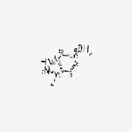 Bc1ccc2c(C)n[nH]c2c1